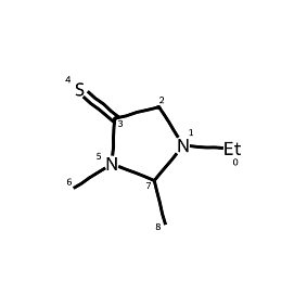 CCN1CC(=S)N(C)C1C